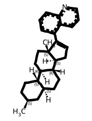 C[C@H]1CC[C@H]2[C@@H](CC[C@@H]3[C@@H]2CC[C@]2(C)C(c4cccc5ncccc45)=CC[C@@H]32)C1